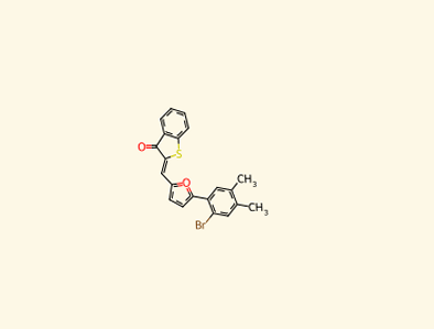 Cc1cc(Br)c(-c2ccc(C=C3Sc4ccccc4C3=O)o2)cc1C